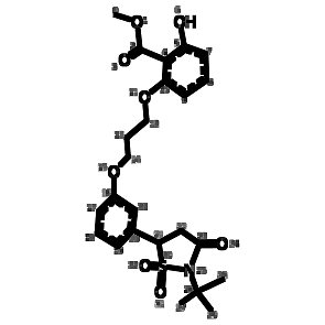 COC(=O)c1c(O)cccc1OCCCOc1cccc(C2CC(=O)N(C(C)(C)C)S2(=O)=O)c1